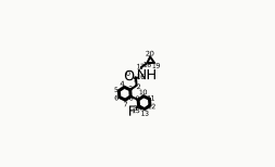 O=C(Cc1ccccc1-c1ccccc1F)NCC1CC1